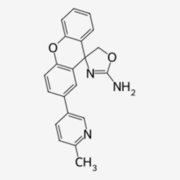 Cc1ccc(-c2ccc3c(c2)C2(COC(N)=N2)c2ccccc2O3)cn1